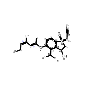 C/C(=C\C(F)=C/CF)Oc1ccc2c(c1C(F)F)C(O)CS2(=O)=NC#N